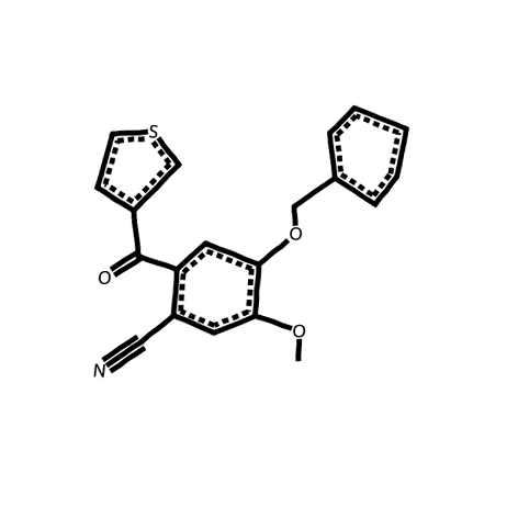 COc1cc(C#N)c(C(=O)c2ccsc2)cc1OCc1ccccc1